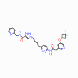 O=C(Cc1cncc(OC2CC(F)(F)C2)c1)Nc1ccc(CCCCn2cc(C(=O)NCc3ccccn3)nn2)nn1